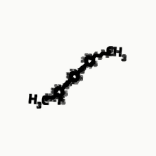 CCCCCc1ccc(C#Cc2ccc(C#Cc3ccc(CCC)c(F)c3)cc2)cc1